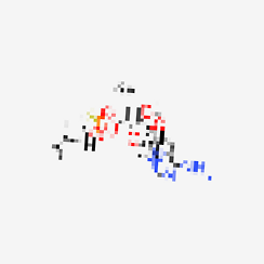 C=C(C)[C@H]1CC[C@@]2(C)S[P@@](=O)(OC[C@H]3O[C@@](C#N)(c4ccc5c(N)ncnn45)[C@@H]4OC(C)(C)O[C@@H]43)O[C@@H]2C1.[Se]